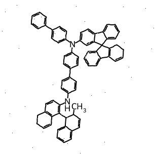 CC1C=Cc2ccccc2C1c1c(Nc2ccc(-c3ccc(N(c4ccc(-c5ccccc5)cc4)c4ccc5c(c4)C4(C6=C(C=CCC6)c6ccccc64)c4ccccc4-5)cc3)cc2)ccc2c1C=CCC2